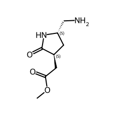 COC(=O)C[C@@H]1C[C@@H](CN)NC1=O